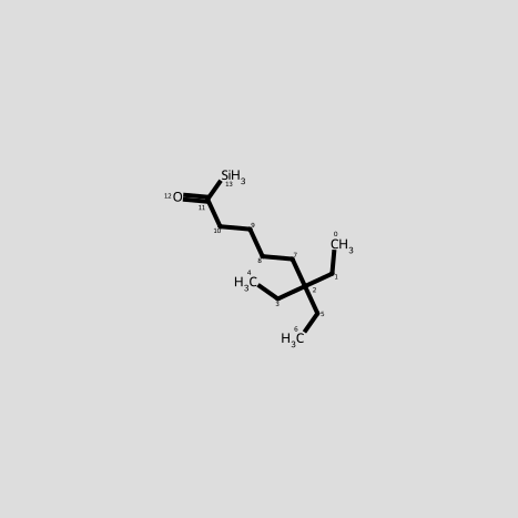 CCC(CC)(CC)CCCCC(=O)[SiH3]